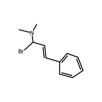 CN(C)C(Br)C=Cc1ccccc1